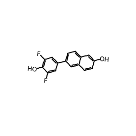 Oc1ccc2cc(-c3cc(F)c(O)c(F)c3)ccc2c1